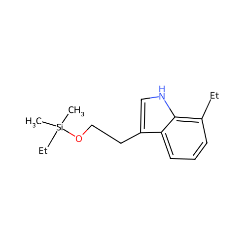 CCc1cccc2c(CCO[Si](C)(C)CC)c[nH]c12